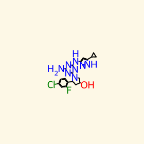 Nc1nc(Nc2cc(C3CC3)[nH]n2)nc(N2CC(O)CC2c2ccc(Cl)cc2F)n1